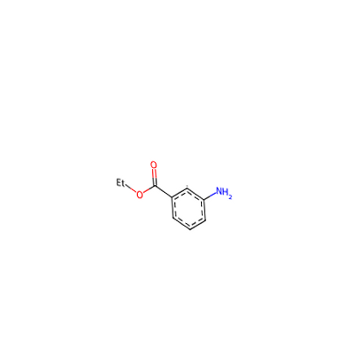 CCOC(=O)c1[c]c(N)ccc1